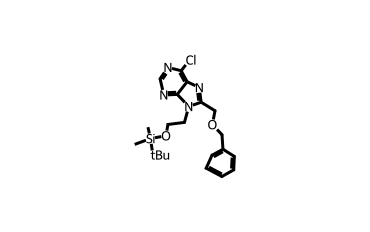 CC(C)(C)[Si](C)(C)OCCn1c(COCc2ccccc2)nc2c(Cl)ncnc21